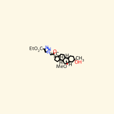 CCOC(=O)c1cn(CC(=O)[C@H]2CC[C@H]3[C@@H]4CC[C@H]5C[C@](C)(O)CC[C@]5(CCOC)[C@H]4CC[C@]23C)nn1